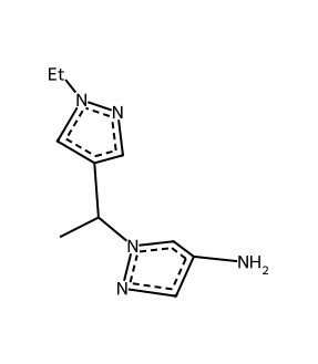 CCn1cc(C(C)n2cc(N)cn2)cn1